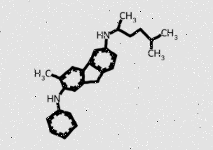 Cc1cc2c(cc1Nc1ccccc1)Cc1ccc(NC(C)CCC(C)C)cc1-2